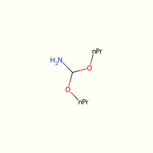 CCCOC(N)OCCC